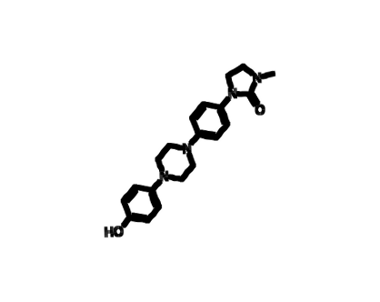 CN1CCN(c2ccc(N3CCN(c4ccc(O)cc4)CC3)cc2)C1=O